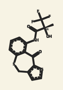 C[C@@](O)(C(=O)Nc1cccc2c1C(=O)c1sccc1CS2)C(F)(F)F